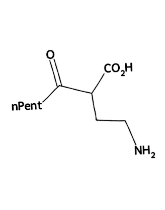 CCCCCC(=O)C(CCN)C(=O)O